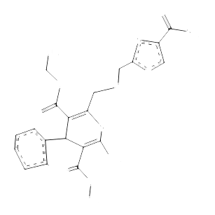 CCOC(=O)C1=C(COCc2nc(C(N)=O)cs2)NC(C)=C(C(=O)OC)C1c1ccccc1Cl